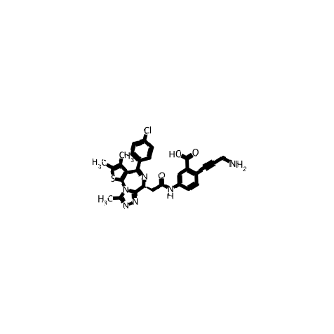 Cc1sc2c(c1C)C(c1ccc(Cl)cc1)=N[C@@H](CC(=O)Nc1ccc(C#CCN)c(C(=O)O)c1)c1nnc(C)n1-2